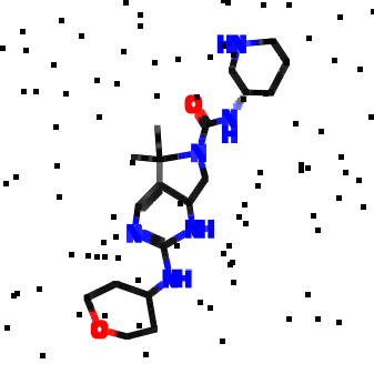 CC1(C)C2=CN=C(NC3CCOCC3)NC2CN1C(=O)N[C@H]1CCCNC1